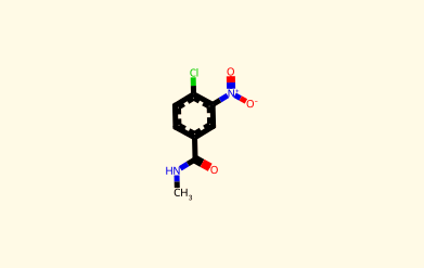 CNC(=O)c1ccc(Cl)c([N+](=O)[O-])c1